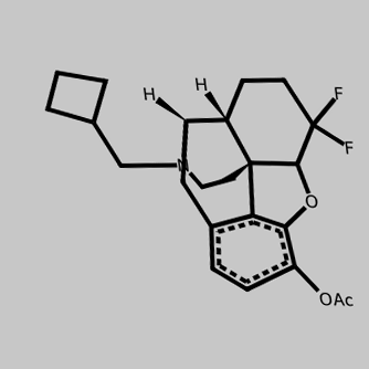 CC(=O)Oc1ccc2c3c1OC1C(F)(F)CC[C@H]4[C@@H](C2)N(CC2CCC2)CC[C@]314